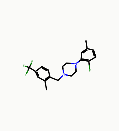 Cc1ccc(F)c(N2CCN(Cc3ccc(C(F)(F)F)cc3C)CC2)c1